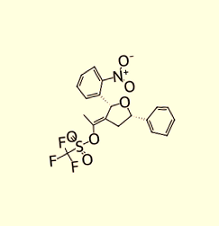 CC(OS(=O)(=O)C(F)(F)F)=C1C[C@@H](c2ccccc2)O[C@H]1c1ccccc1[N+](=O)[O-]